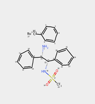 Cc1ccccc1.N[C@@H](c1ccccc1)[C@@H](NS(=O)(=O)C(F)(F)F)c1ccccc1.[Ru]